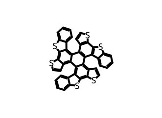 c1ccc2c(c1)sc1c3sccc3c3c(c21)c1c2ccsc2c2sc4ccccc4c2c1c1c2ccsc2c2sc4ccccc4c2c31